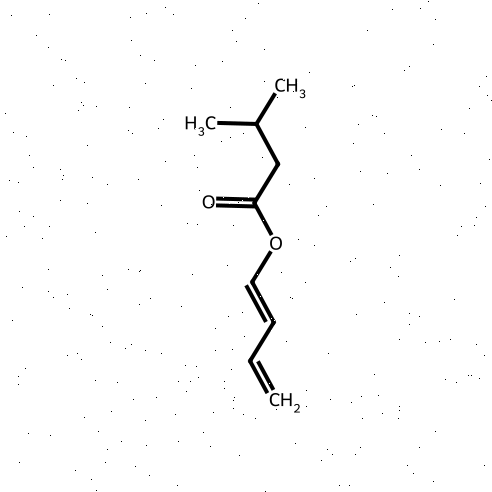 C=CC=COC(=O)CC(C)C